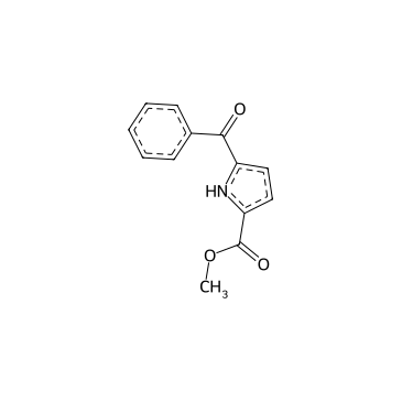 COC(=O)c1ccc(C(=O)c2ccccc2)[nH]1